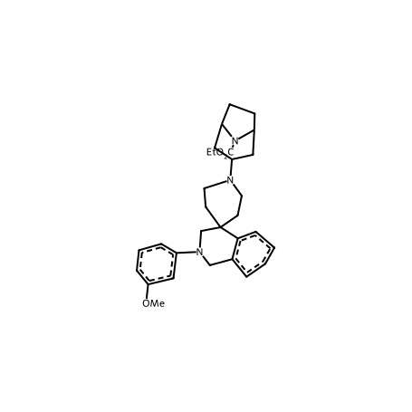 CCOC(=O)N1C2CCC1CC(N1CCC3(CC1)CN(c1cccc(OC)c1)Cc1ccccc13)C2